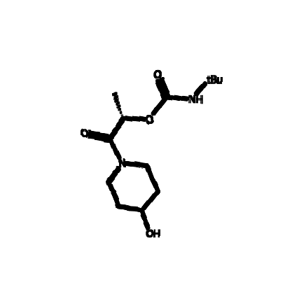 C[C@H](OC(=O)NC(C)(C)C)C(=O)N1CCC(O)CC1